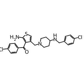 Nc1scc(CN2CCC(NCc3ccc(Cl)cc3)CC2)c1C(=O)c1ccc(Cl)cc1